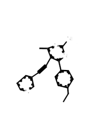 CCc1ccc(-c2nc(N)nc(C)c2C#Cc2cccnc2)cc1